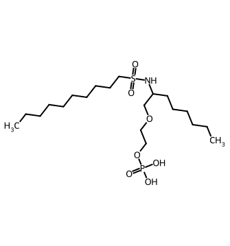 CCCCCCCCCCS(=O)(=O)NC(CCCCCC)COCCOP(=O)(O)O